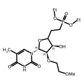 CCOP(=O)(CCC1O[C@@H](n2cc(C)c(=O)[nH]c2=O)[C@H](OCCOC)[C@@H]1O)OCC